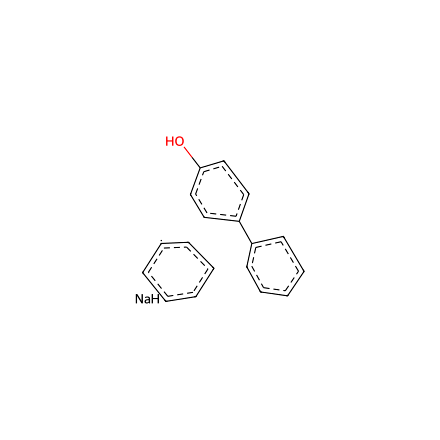 Oc1ccc(-c2ccccc2)cc1.[NaH].[c]1ccccc1